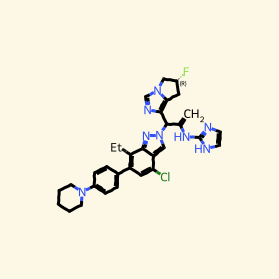 C=C(Nc1ncc[nH]1)C(c1ncn2c1C[C@@H](F)C2)n1cc2c(Cl)cc(-c3ccc(N4CCCCC4)cc3)c(CC)c2n1